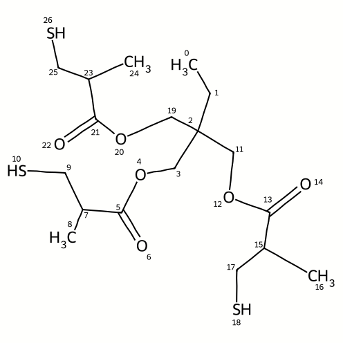 CCC(COC(=O)C(C)CS)(COC(=O)C(C)CS)COC(=O)C(C)CS